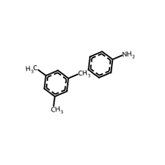 Cc1cc(C)cc(C)c1.Nc1ccccc1